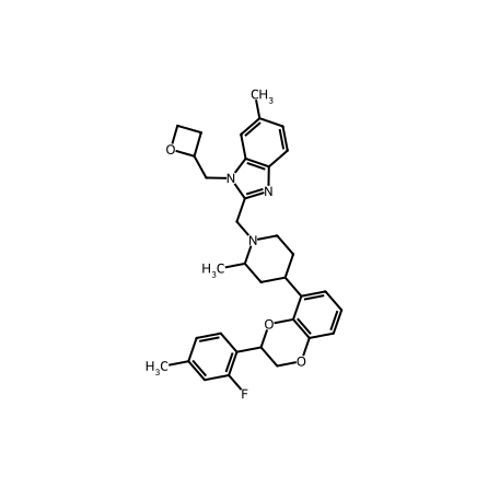 Cc1ccc(C2COc3cccc(C4CCN(Cc5nc6ccc(C)cc6n5CC5CCO5)C(C)C4)c3O2)c(F)c1